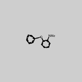 CNc1ccccc1Oc1ccccc1